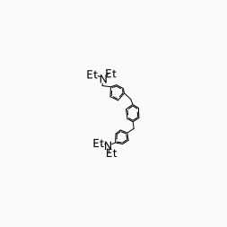 CCN(CC)Cc1ccc(Cc2ccc(Cc3ccc(N(CC)CC)cc3)cc2)cc1